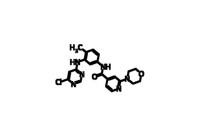 Cc1ccc(NC(=O)c2ccnc(N3CCOCC3)c2)cc1Nc1cc(Cl)ncn1